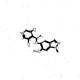 COc1cc2c(cnn2C)cc1O[C@H](C)c1c(Cl)cncc1Cl